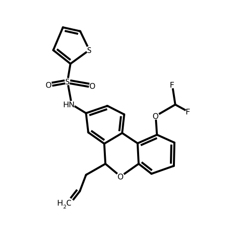 C=CCC1Oc2cccc(OC(F)F)c2-c2ccc(NS(=O)(=O)c3cccs3)cc21